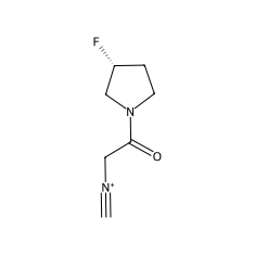 C#[N+]CC(=O)N1CC[C@@H](F)C1